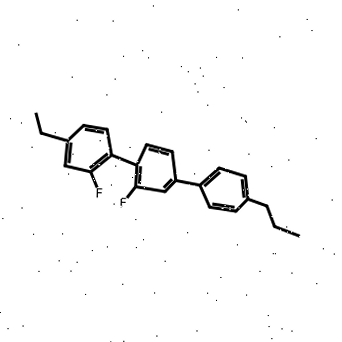 CCCc1ccc(-c2ccc(-c3ccc(CC)cc3F)c(F)c2)cc1